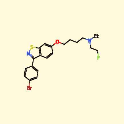 CCN(CCF)CCCCOc1ccc2c(-c3ccc(Br)cc3)nsc2c1